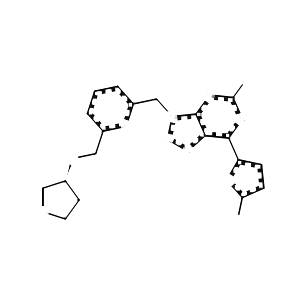 Cc1nc(-c2ccc(C)o2)c2nnn(Cc3cccc(CO[C@H]4CCOC4)n3)c2n1